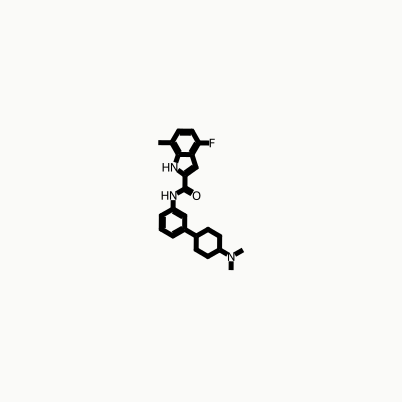 Cc1ccc(F)c2cc(C(=O)Nc3cccc(C4CCC(N(C)C)CC4)c3)[nH]c12